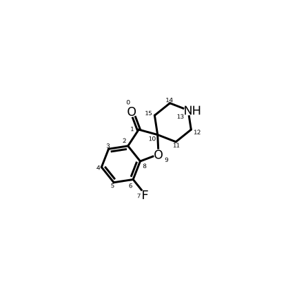 O=C1c2cccc(F)c2OC12CCNCC2